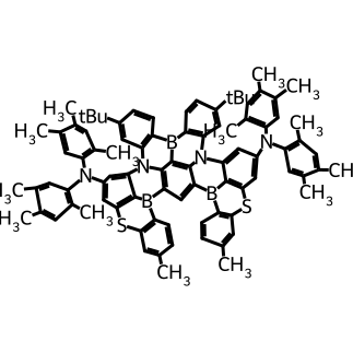 Cc1ccc2c(c1)Sc1cc(N(c3cc(C)c(C)cc3C)c3cc(C)c(C)cc3C)cc3c1B2c1cc2c4c5c1N3c1cc(C(C)(C)C)ccc1B5c1ccc(C(C)(C)C)cc1N4c1cc(N(c3cc(C)c(C)cc3C)c3cc(C)c(C)cc3C)cc3c1B2c1ccc(C)cc1S3